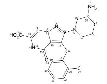 N[C@@H]1CCCN(c2nn3cc(C(=O)O)[nH]c(=O)c3c2Cc2ccccc2Cl)C1